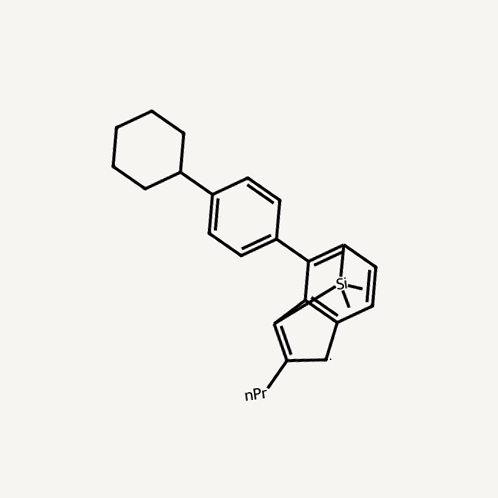 CCCC1=C2c3c(ccc(c3-c3ccc(C4CCCCC4)cc3)[Si]2(C)C)[CH]1